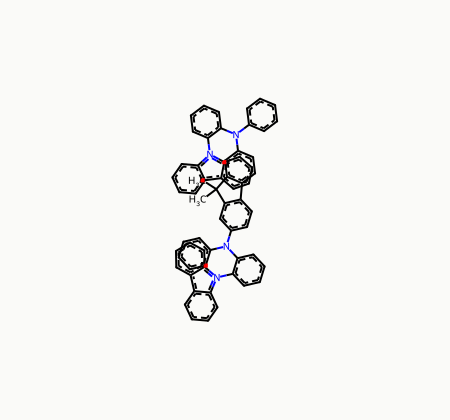 CC1(C)c2cc(N(c3ccccc3)c3ccccc3-n3c4ccccc4c4ccccc43)ccc2-c2ccc(N(c3ccccc3)c3ccccc3-n3c4ccccc4c4ccccc43)cc21